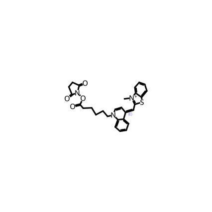 C[n+]1c(/C=C2\C=CN(CCCCCC(=O)ON3C(=O)CCC3=O)c3ccccc32)sc2ccccc21